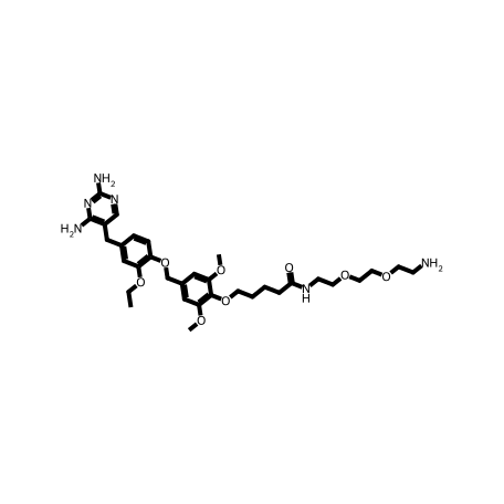 CCOc1cc(Cc2cnc(N)nc2N)ccc1OCc1cc(OC)c(OCCCCC(=O)NCCOCCOCCN)c(OC)c1